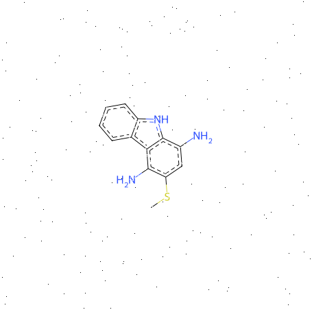 CSc1cc(N)c2[nH]c3ccccc3c2c1N